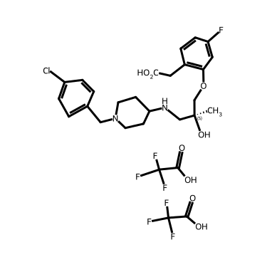 C[C@](O)(CNC1CCN(Cc2ccc(Cl)cc2)CC1)COc1cc(F)ccc1CC(=O)O.O=C(O)C(F)(F)F.O=C(O)C(F)(F)F